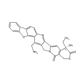 CC[C@@]1(O)C(=O)OCc2c1cc1n(c2=O)Cc2c-1nc1ccc3c4ccccc4oc3c1c2CN